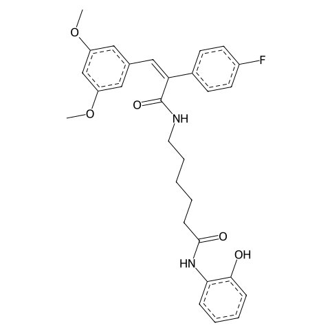 COc1cc(C=C(C(=O)NCCCCCC(=O)Nc2ccccc2O)c2ccc(F)cc2)cc(OC)c1